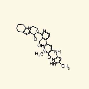 Cc1cc(Nc2cc(-c3ccnc(N4CCn5c(cc6c5CCCC6)C4=O)c3CO)cn(C)c2=O)n[nH]1